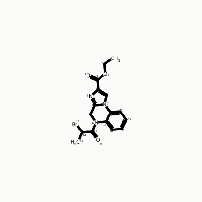 CCOC(=O)c1cn2c(n1)CN(C(=O)C(C)Br)c1ccccc1-2